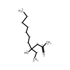 CCCCCCCC(O)(CC)CC(C)=O